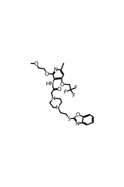 COCCOc1nc(C)cc(OCC(F)(F)F)c1NC(=O)CN1CCN(CCSc2nc3ccccc3o2)CC1